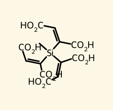 C[Si](/C(=C\C(=O)O)C(=O)O)(/C(=C\C(=O)O)C(=O)O)/C(=C\C(=O)O)C(=O)O